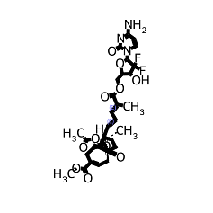 COC(=O)C1=CC[C@@]23CC[C@@H]([C@@](C)(/C=C/C=C(\C)C(=O)OCC4OC(n5ccc(N)nc5=O)C(F)(F)C4O)OC2=O)[C@@]3(OC(C)=O)CC1